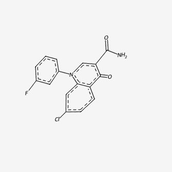 NC(=O)c1cn(-c2cccc(F)c2)c2cc(Cl)ccc2c1=O